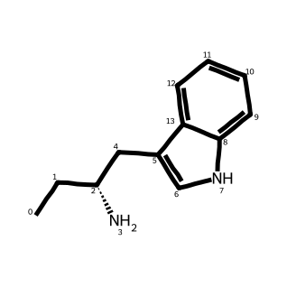 CC[C@@H](N)Cc1c[nH]c2ccccc12